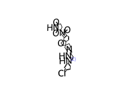 N=C(/C=C\Nc1ccc(Cl)cc1)CN1CCC2(CC1)COc1c2ccc2c1CN(C1CCC(=O)NC1=O)C2=O